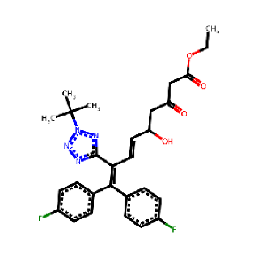 CCOC(=O)CC(=O)CC(O)/C=C/C(=C(c1ccc(F)cc1)c1ccc(F)cc1)c1nnn(C(C)(C)C)n1